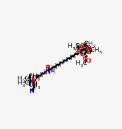 CC(=O)OC[C@H]1O[C@@H](OCCCCCCCCCCCCCCCC(=O)NCCCCCCOP(OCCC#N)N(C(C)C)C(C)C)[C@H](OC(C)=O)[C@@H](OC(C)=O)[C@@H]1OC(C)=O